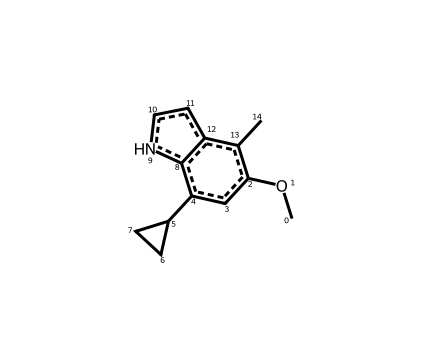 COc1cc(C2CC2)c2[nH]ccc2c1C